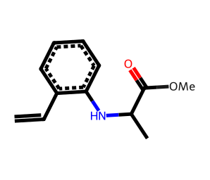 C=Cc1ccccc1NC(C)C(=O)OC